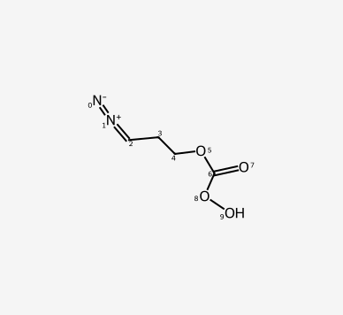 [N-]=[N+]=CCCOC(=O)OO